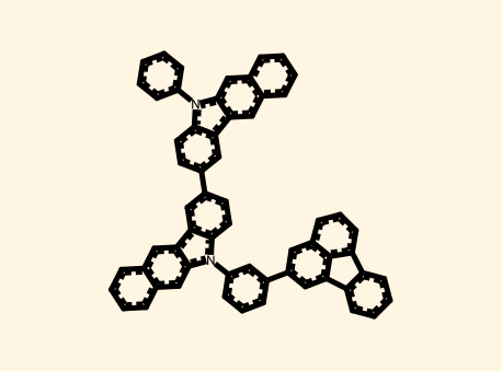 c1ccc(-n2c3ccc(-c4ccc5c(c4)c4cc6ccccc6cc4n5-c4cccc(-c5cc6c7c(cccc7c5)-c5ccccc5-6)c4)cc3c3cc4ccccc4cc32)cc1